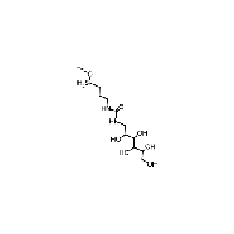 CCO[SiH2]CCCNC(=O)NCC(O)C(O)C(O)C(O)CO